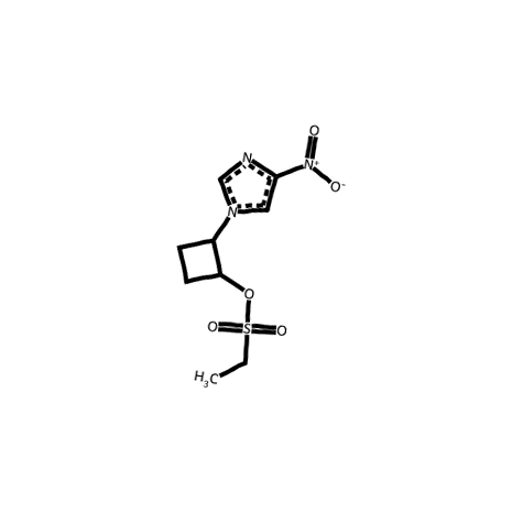 CCS(=O)(=O)OC1CCC1n1cnc([N+](=O)[O-])c1